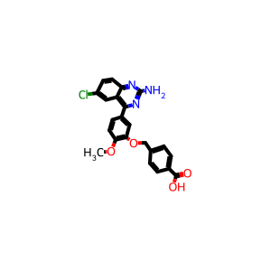 COc1ccc(-c2nc(N)nc3ccc(Cl)cc23)cc1OCc1ccc(C(=O)O)cc1